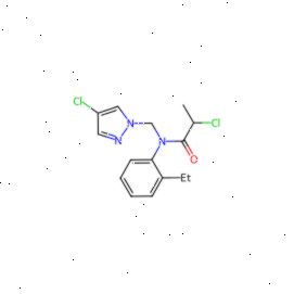 CCc1ccccc1N(Cn1cc(Cl)cn1)C(=O)C(C)Cl